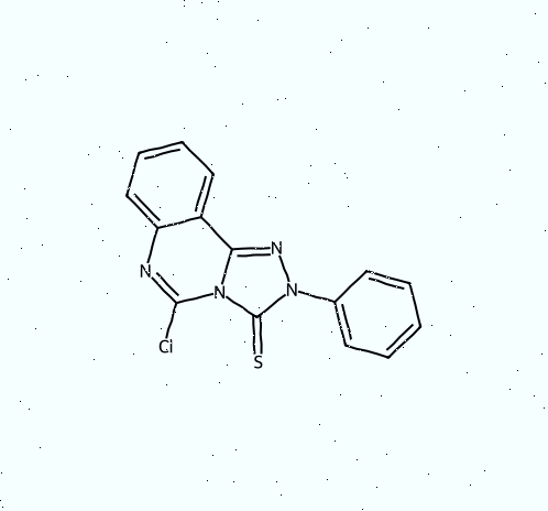 S=c1n(-c2ccccc2)nc2c3ccccc3nc(Cl)n12